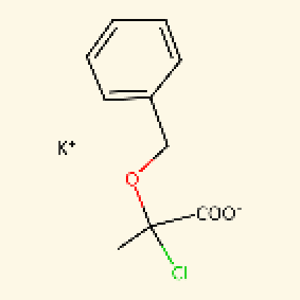 CC(Cl)(OCc1ccccc1)C(=O)[O-].[K+]